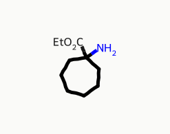 CCOC(=O)C1(N)CCCCCC1